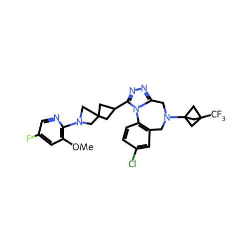 COc1cc(F)cnc1N1CC2(CC(c3nnc4n3-c3ccc(Cl)cc3CN(C35CC(C(F)(F)F)(C3)C5)C4)C2)C1